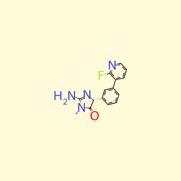 CN1C(=O)[C@@H](c2cccc(-c3cccnc3F)c2)N=C1N